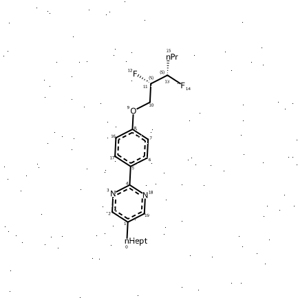 CCCCCCCc1cnc(-c2ccc(OC[C@H](F)[C@@H](F)CCC)cc2)nc1